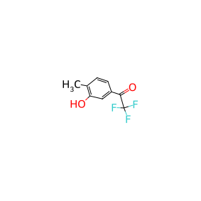 Cc1ccc(C(=O)C(F)(F)F)cc1O